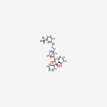 O=C(OC1C[N+]2(CCOc3cccc(C(F)(F)F)c3)CCC1CC2)C(O)(c1ccccc1)c1ccccc1